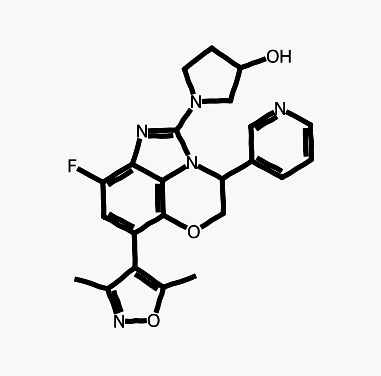 Cc1noc(C)c1-c1cc(F)c2nc(N3CCC(O)C3)n3c2c1OCC3c1cccnc1